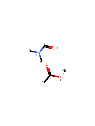 CC(=O)O.CN(C)C=O.[Ni]